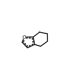 [C]1CCCc2ccoc21